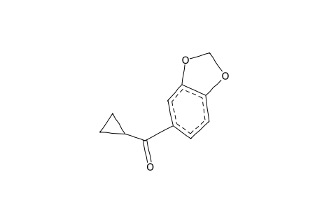 O=C(c1ccc2c(c1)OCO2)C1CC1